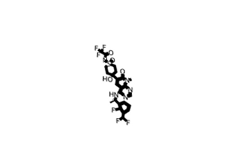 C[C@@H](Nc1ncnc2c1cc(C1(O)CCS(=O)(=NC(=O)C(F)(F)F)CC1)c(=O)n2C)c1cccc(C(F)F)c1F